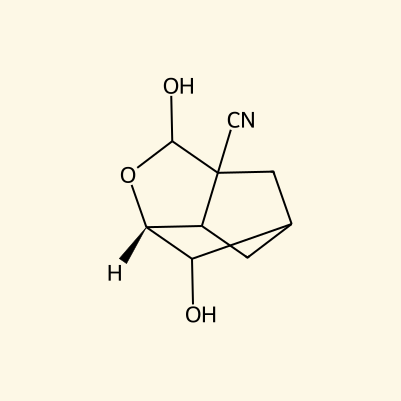 N#CC12CC3CC1[C@@H](OC2O)C3O